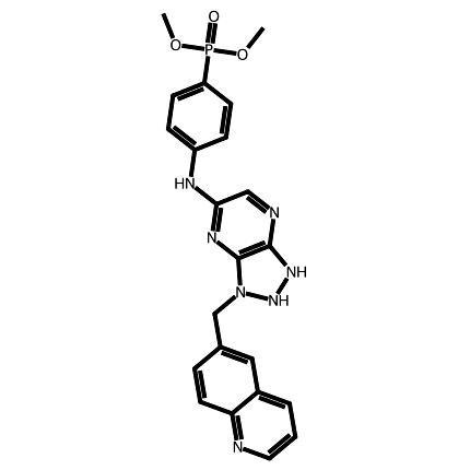 COP(=O)(OC)c1ccc(Nc2cnc3c(n2)N(Cc2ccc4ncccc4c2)NN3)cc1